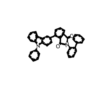 O=C1c2cccc(-c3ccc4c(c3)c3ccccc3n4-c3ccccc3)c2C(=O)N1c1ccccc1-c1ccccc1